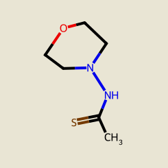 CC(=S)NN1CCOCC1